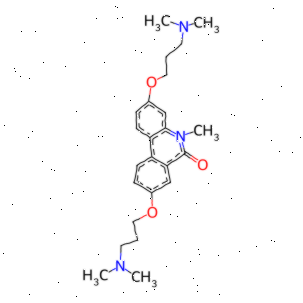 CN(C)CCCOc1ccc2c(c1)c(=O)n(C)c1cc(OCCCN(C)C)ccc21